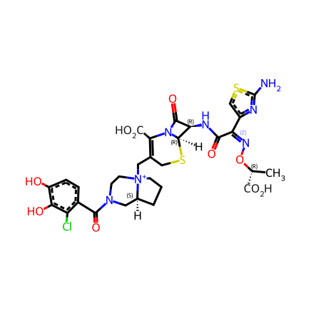 C[C@@H](O/N=C(\C(=O)N[C@@H]1C(=O)N2C(C(=O)O)=C(C[N+]34CCC[C@H]3CN(C(=O)c3ccc(O)c(O)c3Cl)CC4)CS[C@H]12)c1csc(N)n1)C(=O)O